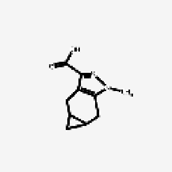 Cn1nc(C(=O)O)c2c1CC1CC1C2